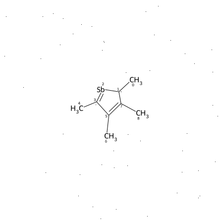 C[C]1[Sb]=[C](C)C(C)=C1C